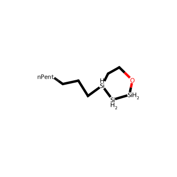 CCCCCCCC[SiH]1CCO[SiH2][SiH2]1